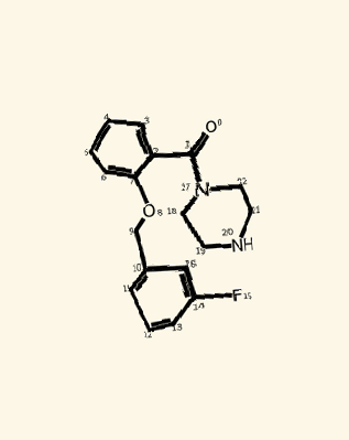 O=C(c1ccccc1OCc1cccc(F)c1)N1CCNCC1